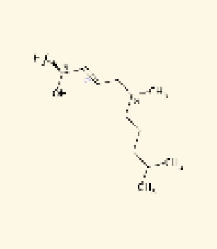 CC(C)CCC[C@@H](C)C/C=C/[C@H](C)O